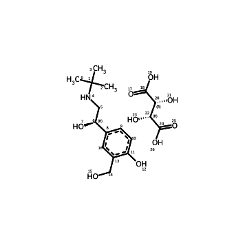 CC(C)(C)NC[C@H](O)c1ccc(O)c(CO)c1.O=C(O)[C@H](O)[C@@H](O)C(=O)O